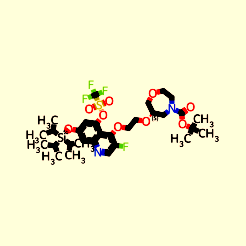 CC(C)[Si](Oc1cc(OS(=O)(=O)C(F)(F)F)c2c(OCCO[C@@H]3COCCN(C(=O)OC(C)(C)C)C3)c(F)cnc2c1)(C(C)C)C(C)C